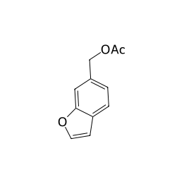 CC(=O)OCc1ccc2ccoc2c1